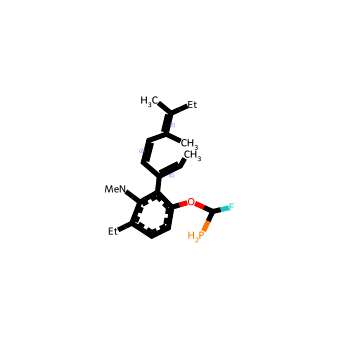 C\C=C(/C=C\C(C)=C(/C)CC)c1c(OC(F)P)ccc(CC)c1NC